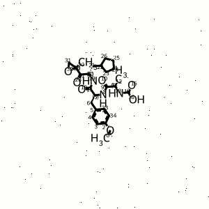 COc1ccc(C[C@H](NC(=O)[C@@H](C)NC(=O)O)C(=O)N[C@@H](CC2CCCC2)C(=O)[C@@]2(C)CO2)cc1